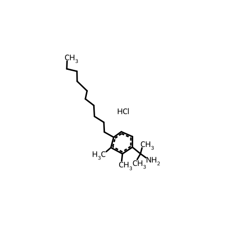 CCCCCCCCCCc1ccc(C(C)(C)N)c(C)c1C.Cl